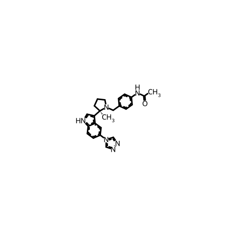 CC(=O)Nc1ccc(CN2CCC[C@]2(C)c2c[nH]c3ccc(-n4cnnc4)cc23)cc1